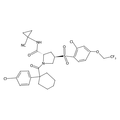 N#CC1(NC(=O)[C@@H]2C[C@@H](S(=O)(=O)c3ccc(OCC(F)(F)F)cc3Cl)CN2C(=O)C2(c3ccc(Cl)cc3)CCCCC2)CC1